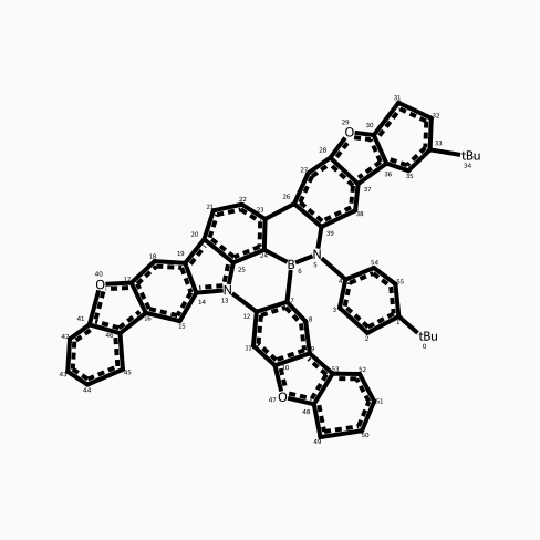 CC(C)(C)c1ccc(N2B3c4cc5c(cc4-n4c6cc7c(cc6c6ccc(c3c64)-c3cc4oc6ccc(C(C)(C)C)cc6c4cc32)oc2ccccc27)oc2ccccc25)cc1